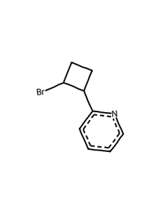 BrC1CCC1c1ccccn1